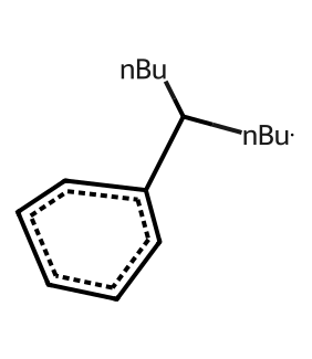 CCC[CH]C(CCCC)c1ccccc1